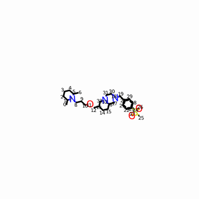 CC1CCCC(C)N1CCCOCC1CCC2CN(Cc3ccc(S(C)(=O)=O)cc3)CCN2C1